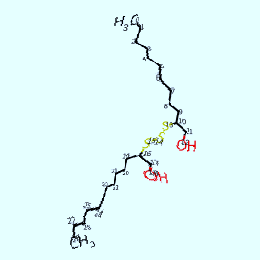 CCCCCCCCCCC(CO)SSSC(CO)CCCCCCCCCC